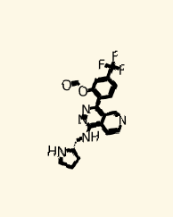 O=COc1cc(C(F)(F)F)ccc1-c1nnc(NC[C@@H]2CCCN2)c2ccncc12